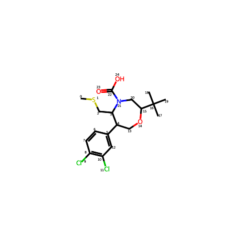 CSCC1C(c2ccc(Cl)c(Cl)c2)COC(C(C)(C)C)CN1C(=O)O